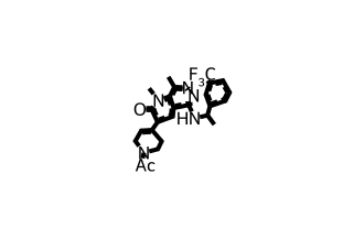 CC(=O)N1CC=C(c2cc3c(NC(C)c4cccc(C(F)(F)F)c4)nnc(C)c3n(C)c2=O)CC1